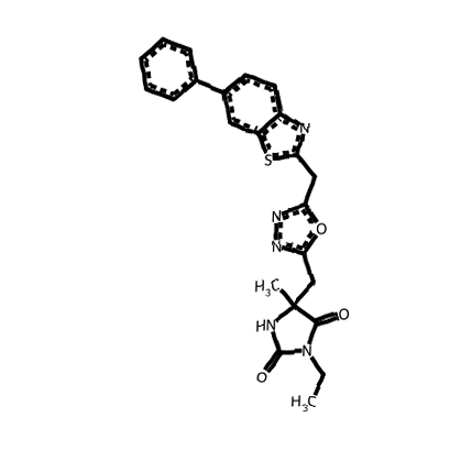 CCN1C(=O)NC(C)(Cc2nnc(Cc3nc4ccc(-c5ccccc5)cc4s3)o2)C1=O